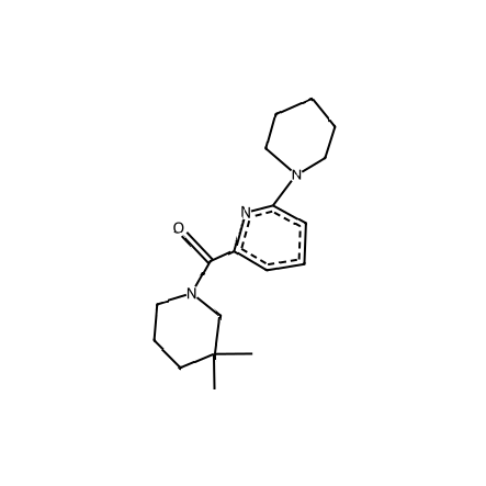 CC1(C)CCCN(C(=O)c2cccc(N3CCCCC3)n2)C1